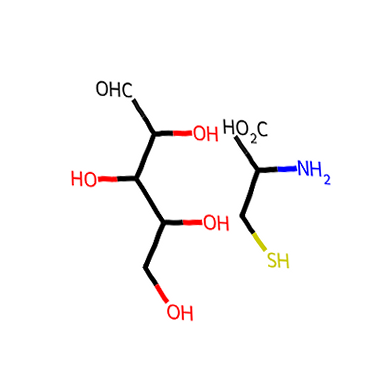 NC(CS)C(=O)O.O=CC(O)C(O)C(O)CO